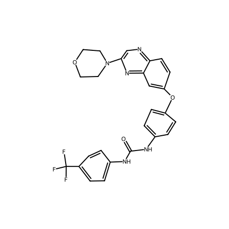 O=C(Nc1ccc(Oc2ccc3ncc(N4CCOCC4)nc3c2)cc1)Nc1ccc(C(F)(F)F)cc1